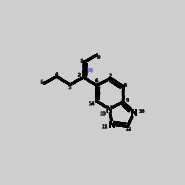 C/C=C(/CCC)c1ccc2ncnn2c1